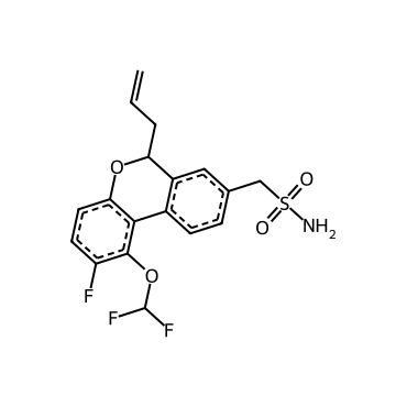 C=CCC1Oc2ccc(F)c(OC(F)F)c2-c2ccc(CS(N)(=O)=O)cc21